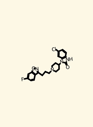 O=c1[nH]c2ccc(Cl)cc2n1C1CCN(CCCc2noc3cc(F)ccc23)CC1